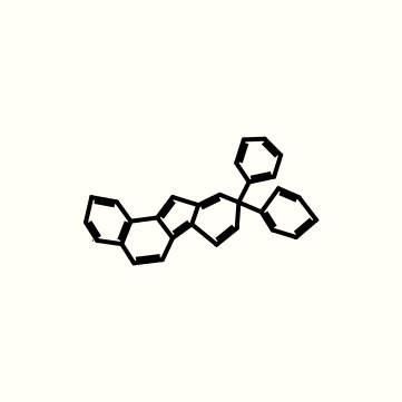 [c]1cccc2c3c(ccc12)=C1C=CC(c2ccccc2)(c2ccccc2)C=C1C=3